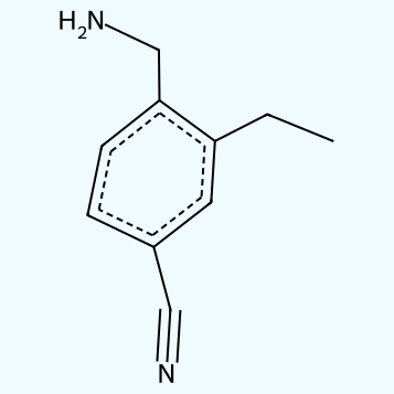 CCc1cc(C#N)ccc1CN